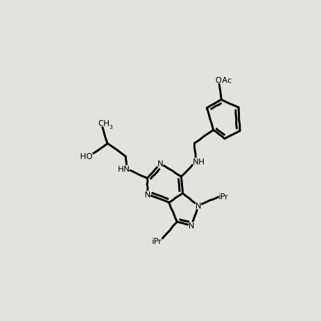 CC(=O)Oc1cccc(CNc2nc(NCC(C)O)nc3c(C(C)C)nn(C(C)C)c23)c1